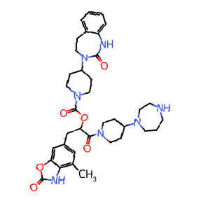 Cc1cc(CC(OC(=O)N2CCC(N3CCc4ccccc4NC3=O)CC2)C(=O)N2CCC(N3CCCNCC3)CC2)cc2oc(=O)[nH]c12